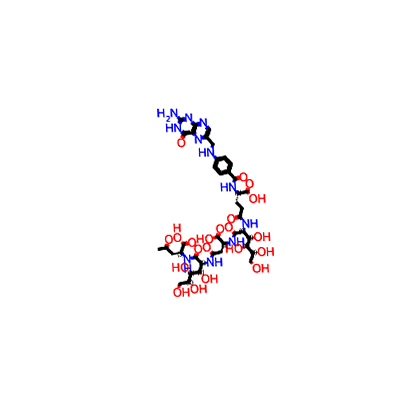 CC(=O)C[C@H](NC(=O)[C@@H](NC(=O)C[C@H](NC(=O)[C@@H](NC(=O)CC[C@H](NC(=O)c1ccc(NCc2cnc3nc(N)[nH]c(=O)c3n2)cc1)C(=O)O)[C@@H](O)[C@H](O)[C@H](O)CO)C(=O)O)[C@@H](O)[C@H](O)[C@H](O)CO)C(=O)O